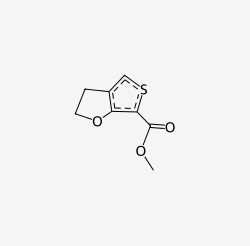 COC(=O)c1scc2c1OCC2